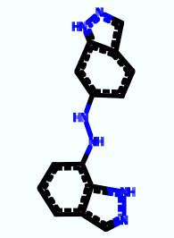 c1cc(NNc2ccc3cn[nH]c3c2)c2[nH]ncc2c1